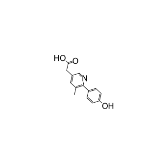 Cc1cc(CC(=O)O)cnc1-c1ccc(O)cc1